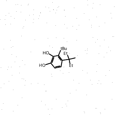 CCC(C)(CC)c1ccc(O)c(O)c1C(C)(C)C